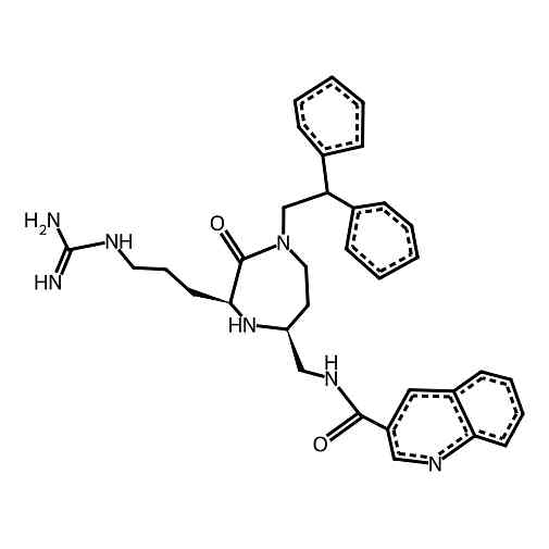 N=C(N)NCCC[C@@H]1N[C@H](CNC(=O)c2cnc3ccccc3c2)CCN(CC(c2ccccc2)c2ccccc2)C1=O